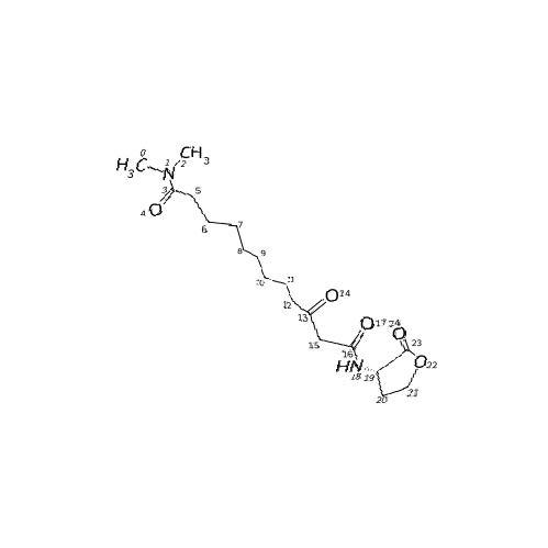 CN(C)C(=O)CCCCCCCCC(=O)CC(=O)N[C@H]1CCOC1=O